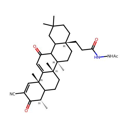 CC(=O)NNC(=O)CC[C@]12CCC(C)(C)CC1C1C(=O)C=C3[C@@]4(C)C=C(C#N)C(=O)[C@@H](C)C4CC[C@@]3(C)[C@]1(C)CC2